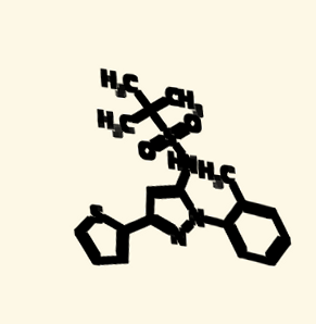 Cc1ccccc1-n1nc(-c2cccs2)cc1NS(=O)(=O)C(C)(C)C